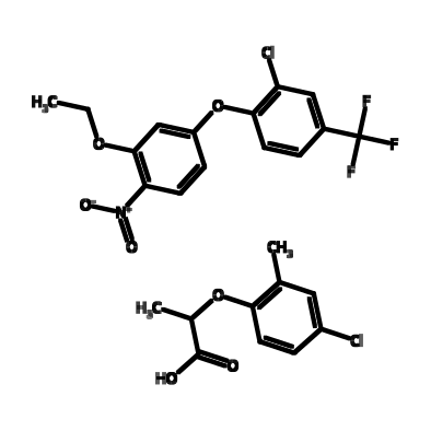 CCOc1cc(Oc2ccc(C(F)(F)F)cc2Cl)ccc1[N+](=O)[O-].Cc1cc(Cl)ccc1OC(C)C(=O)O